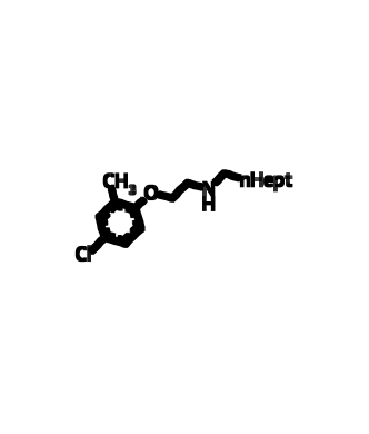 CCCCCCCCNCCOc1ccc(Cl)cc1C